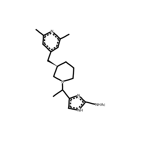 CC(=O)Nc1nc(C(C)N2CCC[C@H](Cc3cc(C)nc(C)c3)C2)c[nH]1